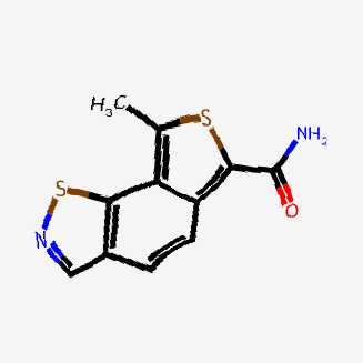 Cc1sc(C(N)=O)c2ccc3cnsc3c12